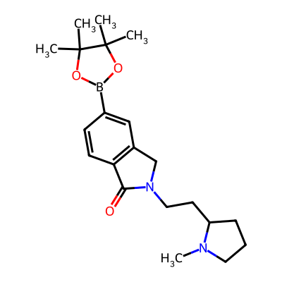 CN1CCCC1CCN1Cc2cc(B3OC(C)(C)C(C)(C)O3)ccc2C1=O